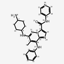 Cc1c(NC2CCC(N)CC2)nn2c(C(=O)Nc3ccncc3)cnc2c1Nc1ccccc1